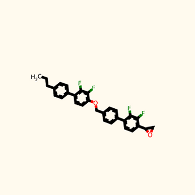 CCCc1ccc(-c2ccc(OCc3ccc(-c4ccc(C5CO5)c(F)c4F)cc3)c(F)c2F)cc1